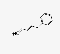 [CH]=CC=CCc1ccccc1